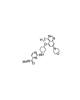 CNC(=O)c1ccnc(NC2CCC(Oc3cc(N4CCOCC4)cc4ncnc(C)c34)CC2)n1